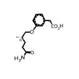 C[C@@H](CCC(N)=O)COc1cccc(CC(=O)O)c1